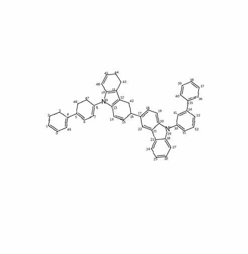 C1=CCCC(C2=CC=C(n3c4c(c5c3C=CC(c3ccc6c(c3)c3ccccc3n6-c3cccc(-c6ccccc6)c3)C5)CCC=C4)CC2)=C1